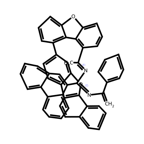 C=C(/N=C(\N=C(/C)c1cccc2oc3cccc(-c4ccc5c(c4)oc4c6ccccc6ccc54)c3c12)c1cc2ccccc2c2ccccc12)c1ccccc1